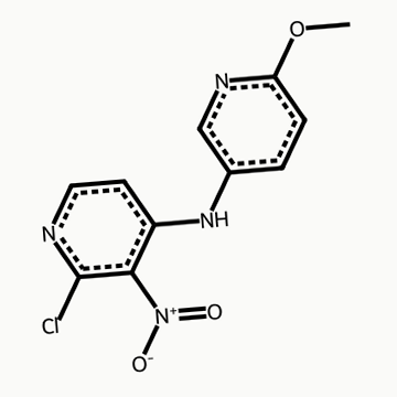 COc1ccc(Nc2ccnc(Cl)c2[N+](=O)[O-])cn1